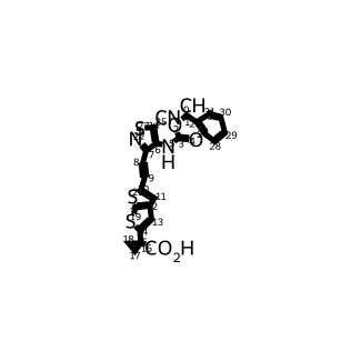 CC(OC(=O)Nc1c(C#Cc2cc3cc(C4(C(=O)O)CC4)sc3s2)nsc1C#N)c1ccccc1